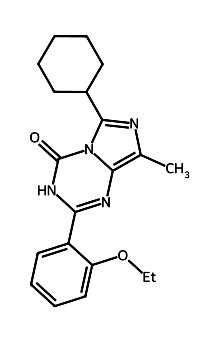 CCOc1ccccc1-c1nc2c(C)nc(C3CCCCC3)n2c(=O)[nH]1